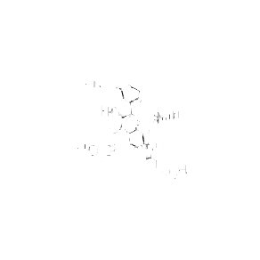 CCCCCCCCCc1cccc(C(Sc2cccc(NC(=O)CC(=O)O)c2)C(O)CCCC(=O)O)c1.[NaH].[NaH]